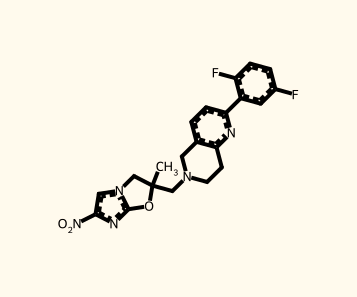 CC1(CN2CCc3nc(-c4cc(F)ccc4F)ccc3C2)Cn2cc([N+](=O)[O-])nc2O1